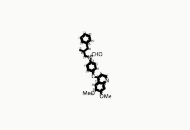 COc1cc2nccc(Oc3ccc(N(C=O)CC(C)Cc4ccccc4)cc3)c2cc1OC